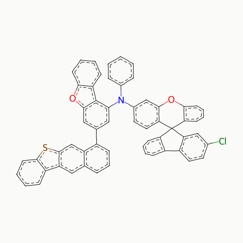 Clc1ccc2c(c1)C1(c3ccccc3Oc3cc(N(c4ccccc4)c4cc(-c5cccc6cc7c(cc56)sc5ccccc57)cc5oc6ccccc6c45)ccc31)c1ccccc1-2